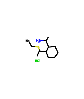 CC(N)C1CCCCC1C(C)S[CH2][Sn].Cl